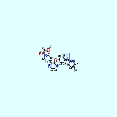 CO[C@H](C)C(=O)N1CCC(c2nccnc2Oc2ccc(Nc3ccc(C)cn3)cc2)CC1